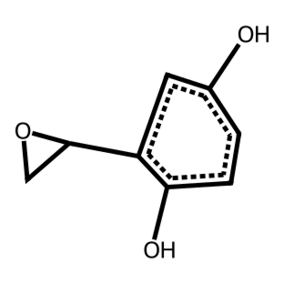 Oc1ccc(O)c(C2CO2)c1